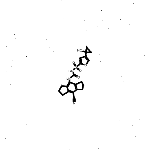 N#Cc1c2c(c(NC(=O)NS(=O)(=O)c3cc(C4(O)CC4)co3)c3c1CCC3)CCC2